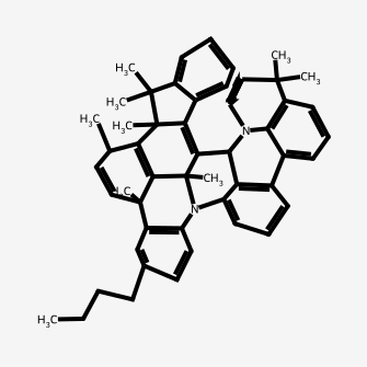 CCCCc1ccc2c(c1)C1(C)C=CC(C)C3=C1C1(C)C(=C4c5ccccc5C(C)(C)C43C)C3c4c(cccc4N21)-c1cccc2c1N3c1ccccc1C2(C)C